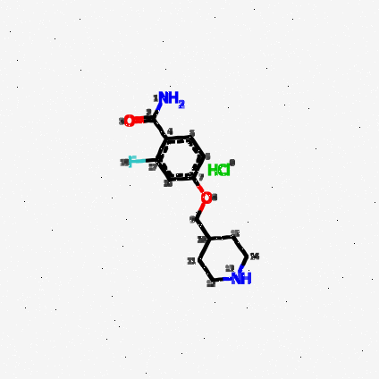 Cl.NC(=O)c1ccc(OCC2CCNCC2)cc1F